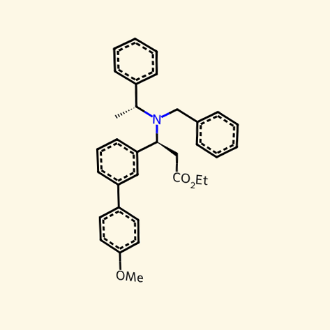 CCOC(=O)C[C@@H](c1cccc(-c2ccc(OC)cc2)c1)N(Cc1ccccc1)[C@H](C)c1ccccc1